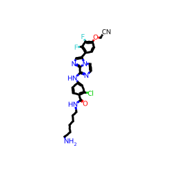 N#CCOc1ccc(-c2cnc3c(Nc4ccc(C(=O)NCCCCCCN)c(Cl)c4)nccn23)c(F)c1F